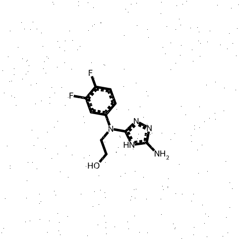 Nc1nnc(N(CCO)c2ccc(F)c(F)c2)[nH]1